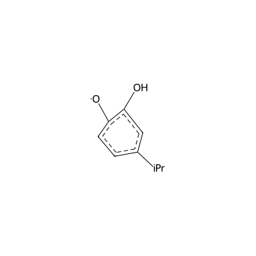 CC(C)c1ccc([O])c(O)c1